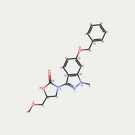 COCC1CN(c2nn(C)c3cc(OCc4ccccc4)ccc23)C(=O)O1